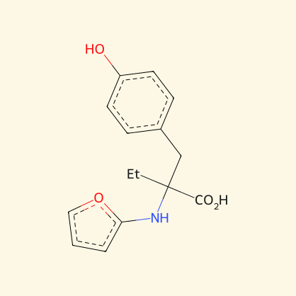 CCC(Cc1ccc(O)cc1)(Nc1ccco1)C(=O)O